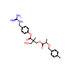 Cc1ccc(COC(C)C(=O)OCC(C)(CO)C(=O)Oc2ccc(CNC(=N)N)cc2)cc1